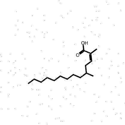 CCCCCCCCCC(C)CC=C(C)C(=O)O